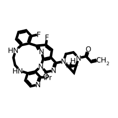 C=CC(=O)N1CCN(c2nc(=O)n3c4nc(c(F)cc24)-c2c(F)cccc2NCCNc2ccnc(C(C)C)c2-3)[C@H]2C[C@H]21